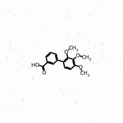 COc1ccc(-c2cccc(C(=O)O)c2)c(OC)c1OC